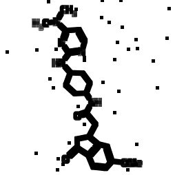 COc1ccc2c(c1)C(CC(=O)NC1CCC(Nc3nccc(N(C)C)n3)CC1)CC2=O